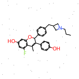 CCCN1CC(Cc2ccc(C3Oc4cc(O)cc(F)c4C(C)=C3c3ccc(O)cc3)cc2)C1